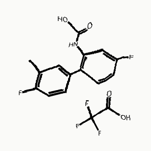 Cc1cc(-c2ccc(F)cc2NC(=O)O)ccc1F.O=C(O)C(F)(F)F